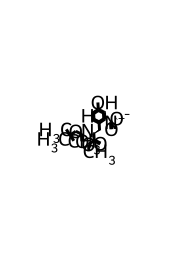 COC(=O)[C@H](Cc1ccc(O)cc1[N+](=O)[O-])NC(=O)OC(C)(C)C